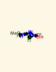 COc1cc(N2CC3(CC(c4nnc5n4-c4ccc(Cl)cc4CN(C4CC(O)(C(F)(F)F)C4)C5)C3)C2)ncc1F